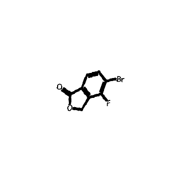 O=C1OCc2c1ccc(Br)c2F